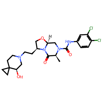 C[C@H]1C(=O)N2[C@@H](CCN3CCC4(CC4)[C@H](O)C3)CO[C@H]2CN1C(=O)Nc1ccc(Cl)c(Cl)c1